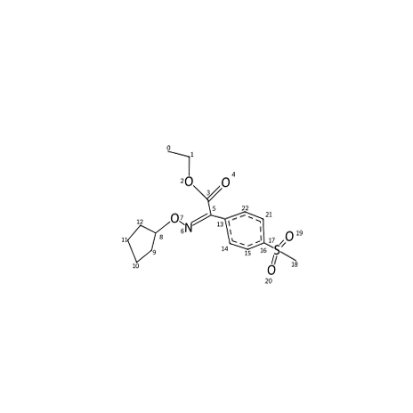 CCOC(=O)C(=NOC1CCCC1)c1ccc(S(C)(=O)=O)cc1